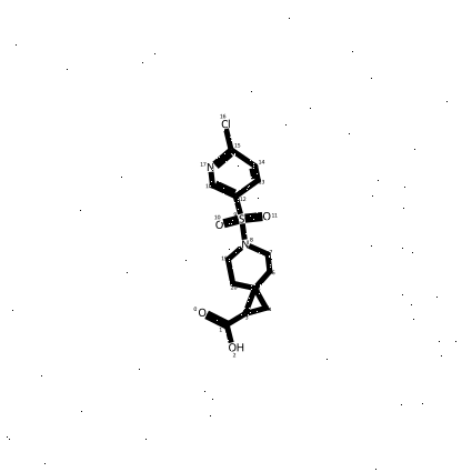 O=C(O)C1CC12CCN(S(=O)(=O)c1ccc(Cl)nc1)CC2